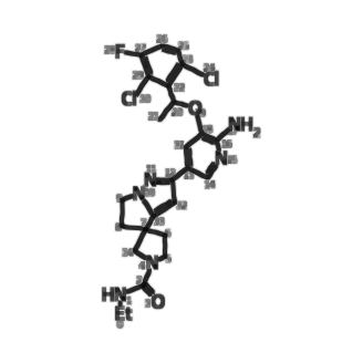 CCNC(=O)N1CCC2(CCn3nc(-c4cnc(N)c(OC(C)c5c(Cl)ccc(F)c5Cl)c4)cc32)C1